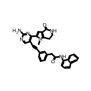 Cn1c(-c2nc(N)ncc2C#Cc2cccc(CC(=O)Nc3cccc4ccccc34)c2)cc2c1CCNC2=O